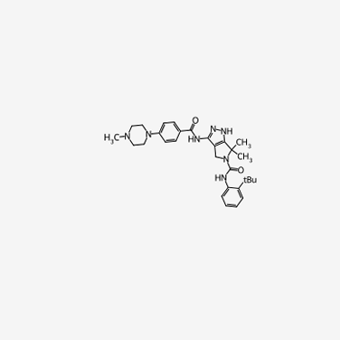 CN1CCN(c2ccc(C(=O)Nc3n[nH]c4c3CN(C(=O)Nc3ccccc3C(C)(C)C)C4(C)C)cc2)CC1